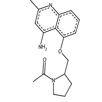 CC(=O)N1CCCC1COc1cccc2nc(C)cc(N)c12